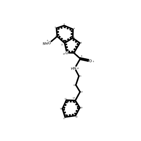 COc1cccc2cc(C(=O)NCCCc3ccccc3)oc12